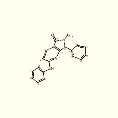 Cn1c(=O)c2cnc(Nc3ccccc3)nc2n1-c1ccccc1